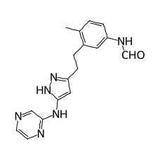 Cc1ccc(NC=O)cc1CCc1cc(Nc2cnccn2)[nH]n1